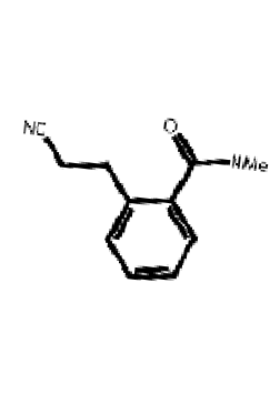 CNC(=O)c1ccccc1CCC#N